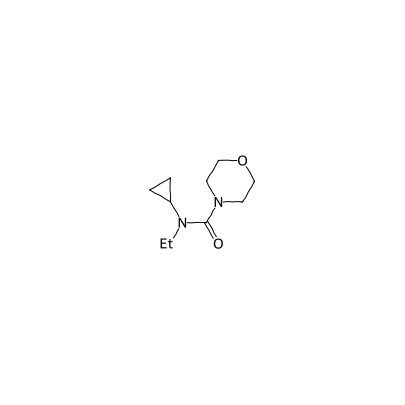 CCN(C(=O)N1CCOCC1)C1CC1